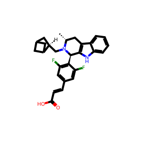 C[C@@H]1Cc2c([nH]c3ccccc23)[C@@H](c2c(F)cc(/C=C/C(=O)O)cc2F)N1C[C@@H]1CC2CC1C2